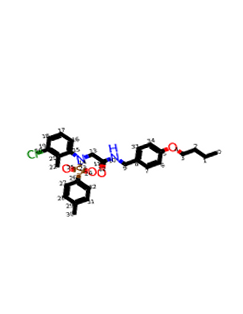 CCCCOc1ccc(CNC(=O)CN(c2cccc(Cl)c2C)S(=O)(=O)c2ccc(C)cc2)cc1